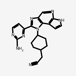 N#CCC1CCC(n2c(-c3ccnc(N)n3)nc3cnc4[nH]ccc4c32)CC1